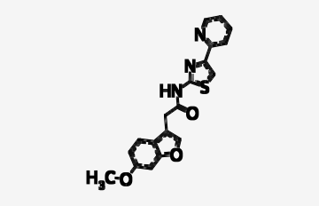 COc1ccc2c(CC(=O)Nc3nc(-c4ccccn4)cs3)coc2c1